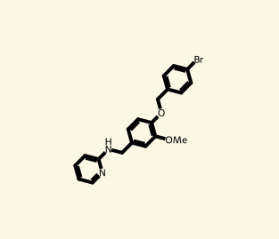 COc1cc(CNc2ccccn2)ccc1OCc1ccc(Br)cc1